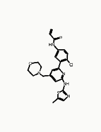 C=CC(=O)Nc1ccc(Cl)c(-c2cc(CN3CCOCC3)cc(Nc3ncc(C)s3)n2)c1